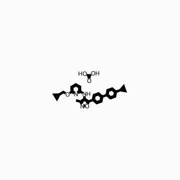 Cc1noc(-c2ccc(-c3ccc(C4CC4)cc3)cc2)c1Nc1cccc(OCC2CC2)n1.O=C(O)O